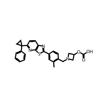 Cc1cc(-c2nc3ccc(C4(c5ccccc5)CC4)nc3s2)ccc1CN1CC(OC(=O)O)C1